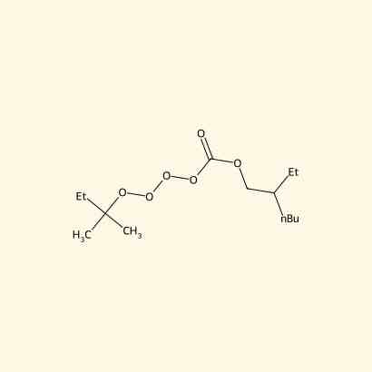 CCCCC(CC)COC(=O)OOOOC(C)(C)CC